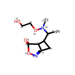 CCCC(C1CC2=NOC(=O)C21)N(CC)OCCO